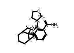 COC1(c2cccc(C(N)=O)c2)C2CCCC1CN(C[C@H]1CCOC1)C2